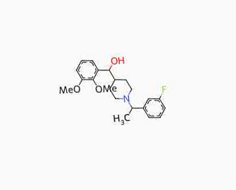 COc1cccc(C(O)C2CCN(C(C)c3cccc(F)c3)CC2)c1OC